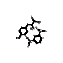 NC(Cc1ccc(O)cc1)C(=O)O.O=[N+]([O-])c1cccc([N+](=O)[O-])c1